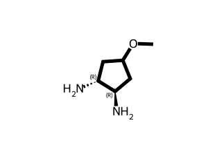 COC1C[C@@H](N)[C@H](N)C1